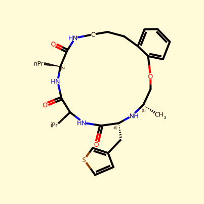 CCC[C@@H]1NC(=O)C(C(C)C)NC(=O)[C@@H](Cc2ccsc2)N[C@@H](C)COc2ccccc2CCCNC1=O